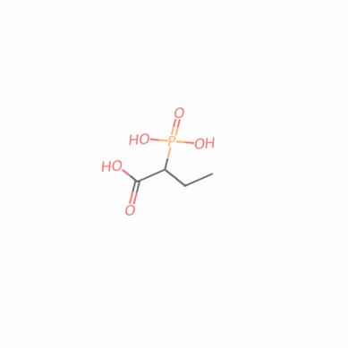 CCC(C(=O)O)P(=O)(O)O